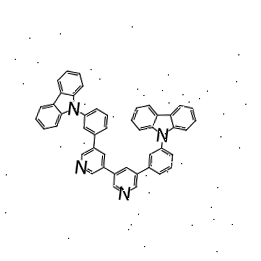 c1cc(-c2cncc(-c3cncc(-c4cccc(-n5c6ccccc6c6ccccc65)c4)c3)c2)cc(-n2c3ccccc3c3ccccc32)c1